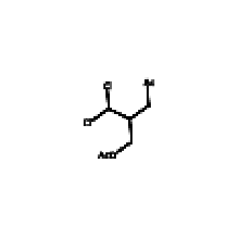 CC(=O)CC(COC(C)=O)C(Cl)Cl